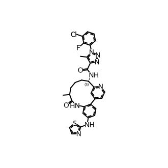 Cc1c(C(=O)N[C@H]2CCCC(C)C(=O)Nc3cc(Nc4nccs4)ccc3-c3ccnc2c3)nnn1-c1cccc(Cl)c1F